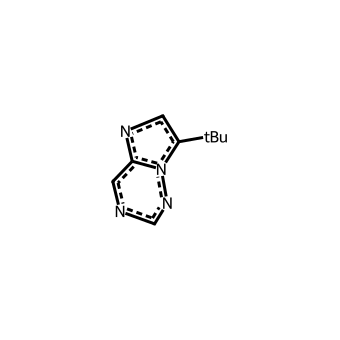 CC(C)(C)c1cnc2cncnn12